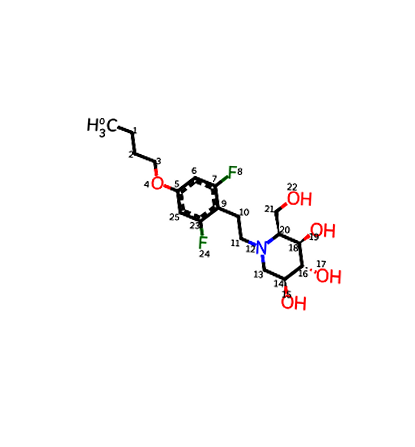 CCCCOc1cc(F)c(CCN2C[C@H](O)[C@@H](O)[C@H](O)[C@@H]2CO)c(F)c1